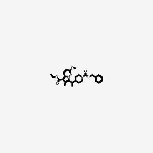 CCOC(=O)c1c(C)c(C(C)C2CCN(C(=O)OCc3ccccc3)CC2)n2nc(OC)ccc12